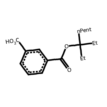 CCCCCC(CC)(CC)OC(=O)c1cccc(C(=O)O)c1